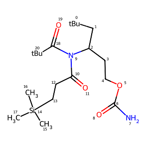 CC(C)(C)CC(CCOC(N)=O)N(C(=O)CC[Si](C)(C)C)C(=O)C(C)(C)C